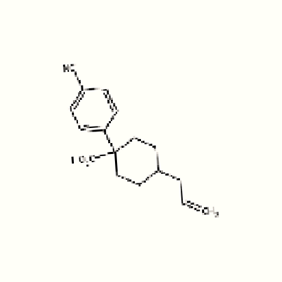 C=CCC1CCC(C(=O)O)(c2ccc(C#N)cc2)CC1